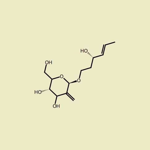 C=C1C(O)[C@H](O)C(CO)O[C@H]1OCC[C@H](O)/C=C/C